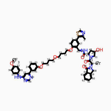 Cc1ncsc1-c1ccc(OCCCCOCCCCOc2cccc(-c3cc(Nc4ccc(OC(F)(F)F)cc4)ncn3)c2)c(CNC(=O)[C@@H]2C[C@@H](O)CN2C(=O)[C@H](C(C)C)N2Cc3ccccc3C2=O)c1